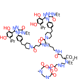 CCNC(=O)c1nnc(-c2cc(C(C)C)c(O)cc2O)n1-c1ccc(CC2CCN(C(=O)CCC(=O)N[C@@H](CCCCNC(=O)CC[C@H](C(=O)O)N(CC)CCNCC(=O)ON3OC(=O)CN(C)CCN(C)CC(=O)O3)C(=O)N3CCC(Cc4ccc(-n5c(C(=O)NCC)nnc5-c5cc(C(C)C)c(O)cc5O)cc4)CC3)CC2)cc1